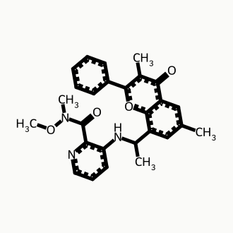 CON(C)C(=O)c1ncccc1NC(C)c1cc(C)cc2c(=O)c(C)c(-c3ccccc3)oc12